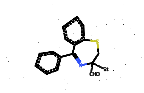 CCC1(C=O)CSc2ccccc2C(c2ccccc2)=N1